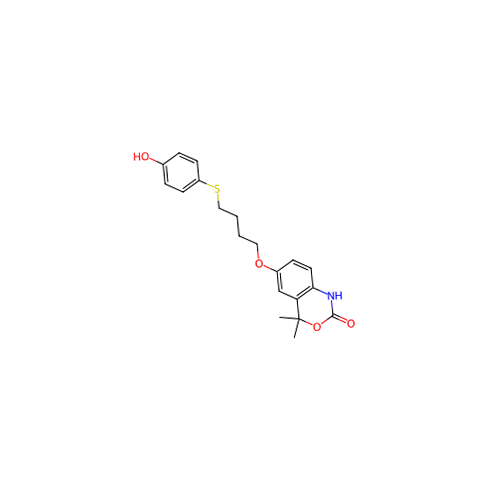 CC1(C)OC(=O)Nc2ccc(OCCCCSc3ccc(O)cc3)cc21